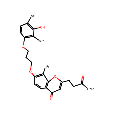 CCCc1c(OCCCOc2ccc3c(=O)cc(CCC(=O)OC)oc3c2CCC)ccc(C(C)=O)c1O